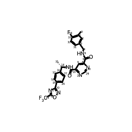 Cc1cc(CNC(=O)c2cc(C(=O)N[C@@H](C)c3ccc(-c4noc(C(F)(F)F)n4)cc3)ncn2)ccc1F